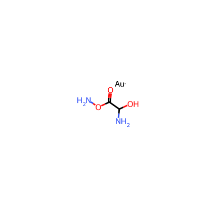 NOC(=O)C(N)O.[Au]